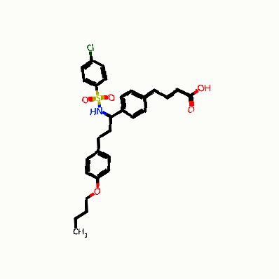 CCCCOc1ccc(CCC(NS(=O)(=O)c2ccc(Cl)cc2)c2ccc(CCCC(=O)O)cc2)cc1